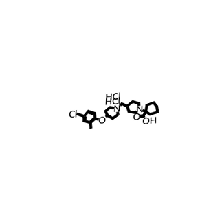 Cc1cc(Cl)ccc1OC1CCN(CC2CCN(C3(C(=O)O)CCCCC3)CC2)CC1.Cl.Cl